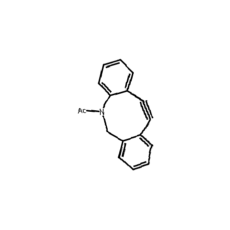 CC(=O)N1Cc2ccccc2C#Cc2ccccc21